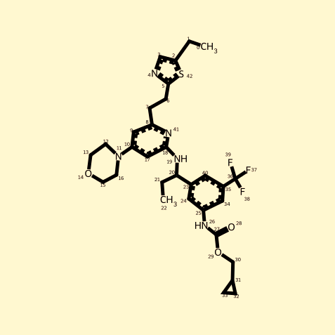 CCc1cnc(CCc2cc(N3CCOCC3)cc(NC(CC)c3cc(NC(=O)OCC4CC4)cc(C(F)(F)F)c3)n2)s1